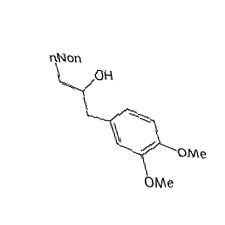 CCCCCCCCCCC(O)Cc1ccc(OC)c(OC)c1